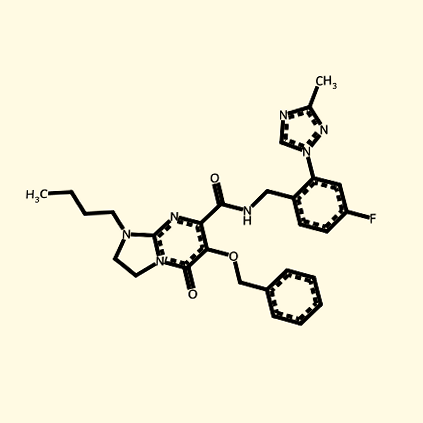 CCCCN1CCn2c1nc(C(=O)NCc1ccc(F)cc1-n1cnc(C)n1)c(OCc1ccccc1)c2=O